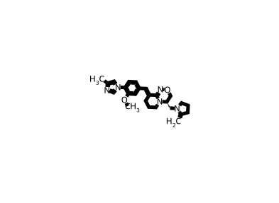 C=C1CCCN1C[C@H]1CON=C2/C(=C/c3ccc(-n4cnc(C)c4)c(OC)c3)CCCN21